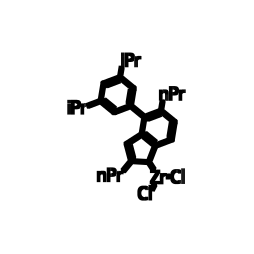 CCCC1=Cc2c(ccc(CCC)c2-c2cc(C(C)C)cc(C(C)C)c2)[CH]1[Zr]([Cl])[Cl]